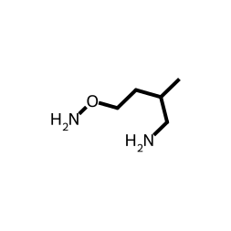 CC(CN)CCON